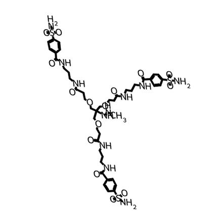 CNNC(COCCC(=O)NCCCNC(=O)c1ccc(S(N)(=O)=O)cc1)(COCCC(=O)NCCCNC(=O)c1ccc(S(N)(=O)=O)cc1)COCCC(=O)NCCCNC(=O)c1ccc(S(N)(=O)=O)cc1